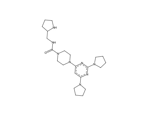 O=C(NCC1CCCN1)N1CCN(c2cc(N3CCCC3)nc(N3CCCC3)n2)CC1